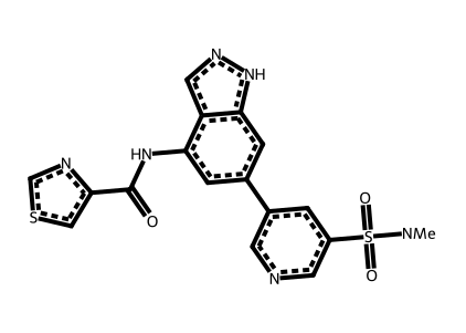 CNS(=O)(=O)c1cncc(-c2cc(NC(=O)c3cscn3)c3cn[nH]c3c2)c1